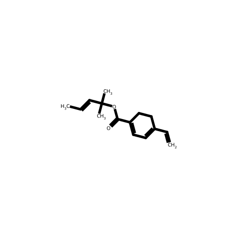 C=CC1=CC=C(C(=O)OC(C)(C)/C=C/C)CC1